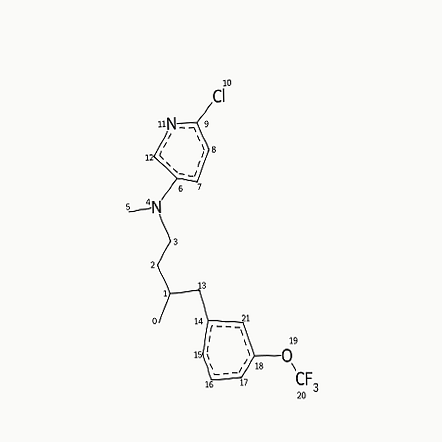 CC(CCN(C)c1ccc(Cl)nc1)Cc1cccc(OC(F)(F)F)c1